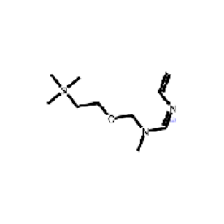 C=C/N=C\N(C)COCC[Si](C)(C)C